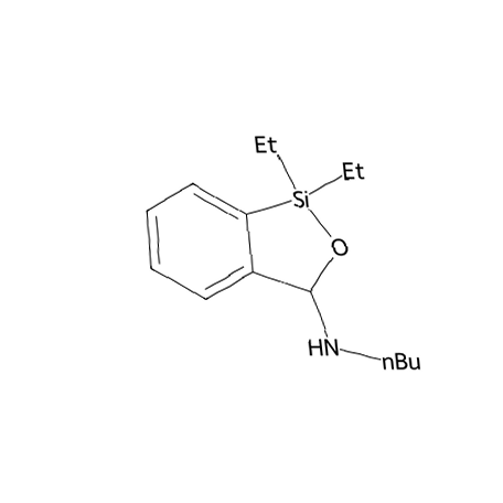 CCCCNC1O[Si](CC)(CC)c2ccccc21